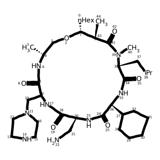 CCCCCC[C@H]1OC[C@@H](C)NC(=O)C(CN2CCNCC2)NC(=O)[C@H](CN)NC(=O)[C@H](C2CCCCC2)NC(=O)[C@H](CC(C)C)N(C)C(=O)[C@@H]1C